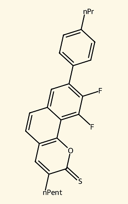 CCCCCc1cc2ccc3cc(-c4ccc(CCC)cc4)c(F)c(F)c3c2oc1=S